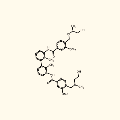 COc1cc(C(=O)Nc2cccc(-c3cccc(NC(=O)c4cc(OC)c(CN(C)CCO)cn4)c3C)c2C)ncc1CN[C@@H](C)CO